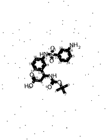 CC(C)(C)OC(=O)NC(CC(=O)O)c1cccc(NS(=O)(=O)c2cccc(N)c2)c1